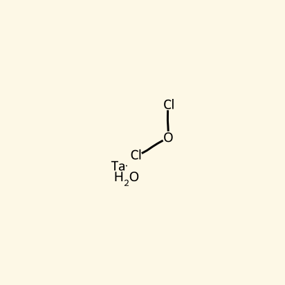 ClOCl.O.[Ta]